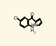 Nc1ccc(Cl)cc1C(=O)c1ccc[nH]1